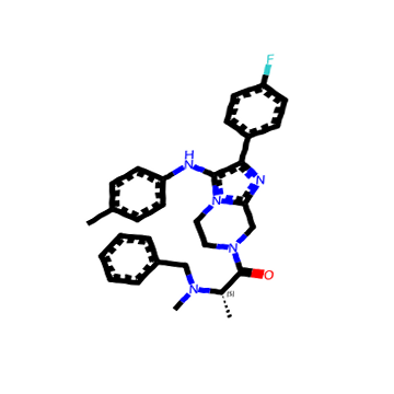 Cc1ccc(Nc2c(-c3ccc(F)cc3)nc3n2CCN(C(=O)[C@H](C)N(C)Cc2ccccc2)C3)cc1